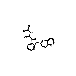 N=C(N)NC(=O)c1cn(-c2ccc3ncccc3c2)c2ncccc12